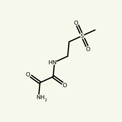 CS(=O)(=O)CCNC(=O)C(N)=O